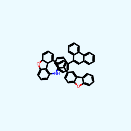 C1=CC2Oc3cccc(Nc4ccccc4-c4ccc5oc6ccccc6c5c4)c3C2C(c2cccc(-c3cc4ccccc4c4ccccc34)c2)=C1